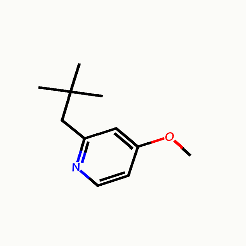 COc1ccnc(CC(C)(C)C)c1